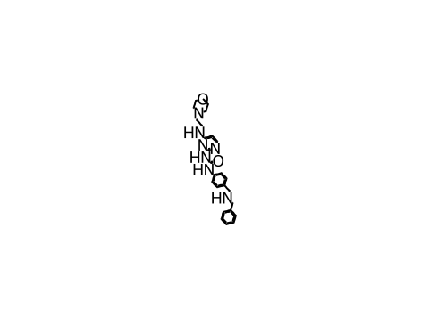 O=C(Nc1ccc(CNCc2ccccc2)cc1)Nc1nccc(NCCN2CCOCC2)n1